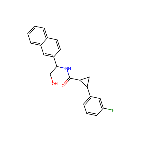 O=C(NC(CO)c1ccc2ccccc2c1)C1CC1c1cccc(F)c1